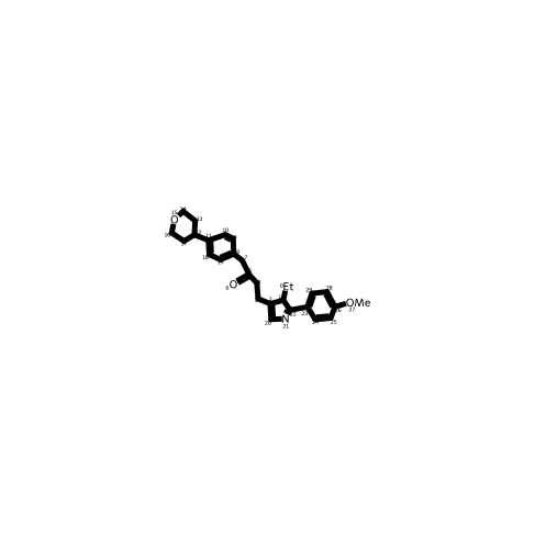 CCC1C(CCC(=O)Cc2ccc(C3CCOCC3)cc2)=CN=C1c1ccc(OC)cc1